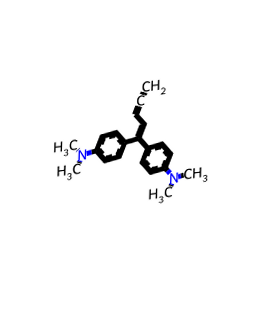 C=C=CC=C(c1ccc(N(C)C)cc1)c1ccc(N(C)C)cc1